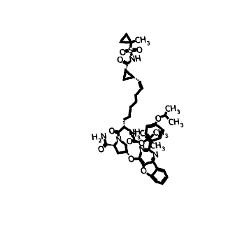 CC(C)Oc1ccc(-c2nc(O[C@@H]3C[C@@H](C(N)=O)N(C(=O)[C@H](CCCCC/C=C\[C@@H]4C[C@@H]4C(=O)NS(=O)(=O)C4(C)CC4)NC(=O)OC(C)(C)C)C3)c3oc4ccccc4c3n2)cc1